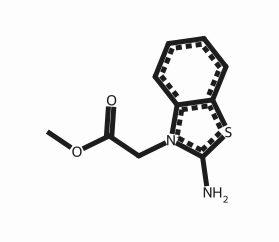 COC(=O)C[n+]1c(N)sc2ccccc21